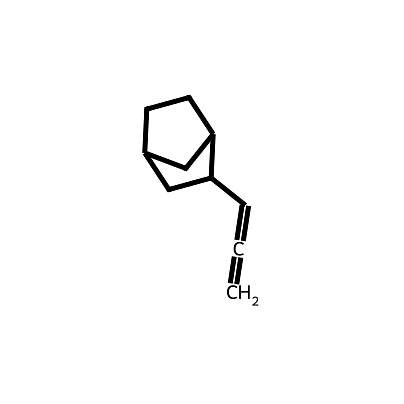 C=C=CC1CC2CCC1C2